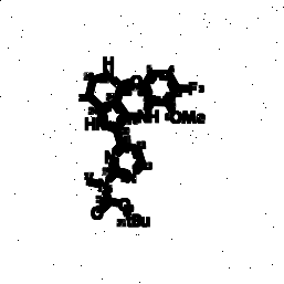 COc1c(F)cccc1Nc1c(-c2ccnc(N(C)C(=O)OC(C)(C)C)n2)[nH]c2c1C(=O)NCC2